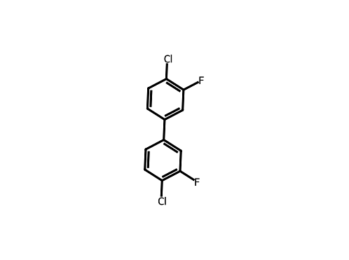 Fc1cc(-c2ccc(Cl)c(F)c2)ccc1Cl